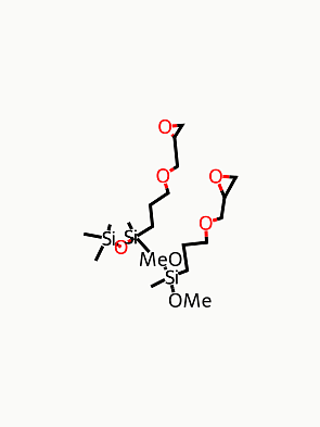 CO[Si](C)(CCCOCC1CO1)OC.C[Si](C)(C)O[Si](C)(C)CCCOCC1CO1